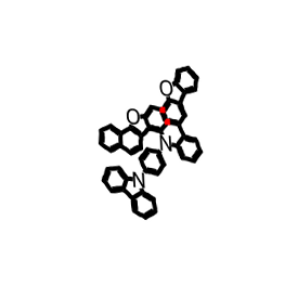 c1ccc(N(c2ccc(-n3c4ccccc4c4ccccc43)cc2)c2cccc3oc4c5ccccc5ccc4c23)c(-c2ccc3oc4ccccc4c3c2)c1